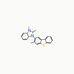 Cc1cc2sc3ccccc3c2cc1N1C2C=CC=CC2N(C)C1C